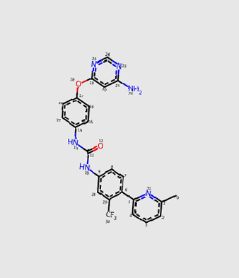 Cc1cccc(-c2ccc(NC(=O)Nc3ccc(Oc4cc(N)ncn4)cc3)cc2C(F)(F)F)n1